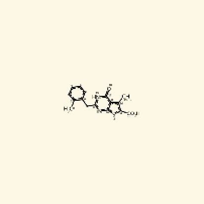 Cc1ccccc1Cc1nc2sc(C(=O)O)c(C)c2c(=O)[nH]1